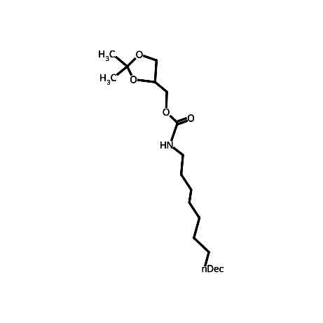 CCCCCCCCCCCCCCCCCNC(=O)OCC1COC(C)(C)O1